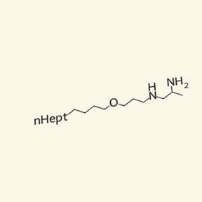 CCCCCCCCCCCOCCCNCC(C)N